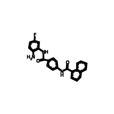 Nc1ccc(F)cc1NC(=O)c1ccc(NC(=O)c2cccc3ccccc23)cc1